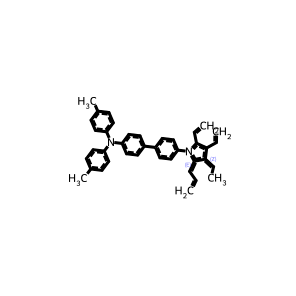 C=C/C=c1\c(=C/C)c(C=C)c(C=C)n1-c1ccc(-c2ccc(N(c3ccc(C)cc3)c3ccc(C)cc3)cc2)cc1